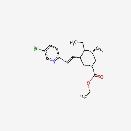 CCOC(=O)C1C[C@@H](/C=C/c2ccc(Br)cn2)C(CC)[C@@H](C)C1